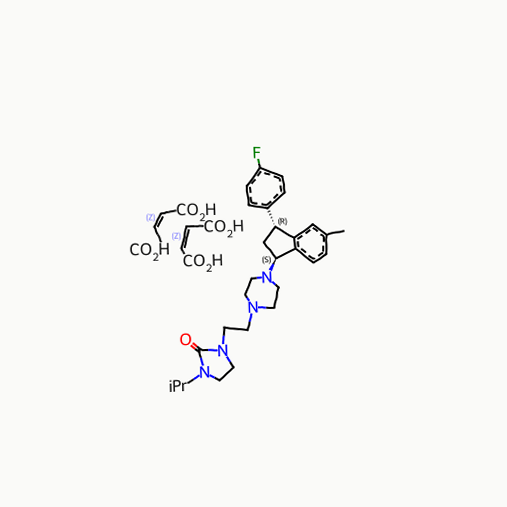 Cc1ccc2c(c1)[C@@H](c1ccc(F)cc1)C[C@@H]2N1CCN(CCN2CCN(C(C)C)C2=O)CC1.O=C(O)/C=C\C(=O)O.O=C(O)/C=C\C(=O)O